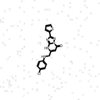 O=c1cc(CNc2ccc(Cl)cc2)[nH]c2nc(-c3cccs3)nn12